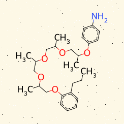 CCCc1ccccc1OCC(C)OCC(C)OCC(C)OCC(C)Oc1ccc(N)cc1